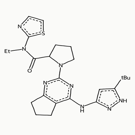 CCN(C(=O)C1CCCN1c1nc2c(c(Nc3cc(C(C)(C)C)[nH]n3)n1)CCC2)c1nccs1